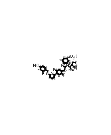 N#Cc1ccc(COc2cccc(-c3cc(F)c(Cc4nc5ccc(C(=O)O)cc5n4[C@H]4CO[C@H]5OCC[C@H]54)cc3F)n2)c(F)c1